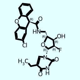 CCc1cn([C@@H]2O[C@H](CNC(=O)[C@@H]3c4ccccc4Oc4ccc(Cl)cc43)[C@@H](O)[C@H]2F)c(=O)[nH]c1=O